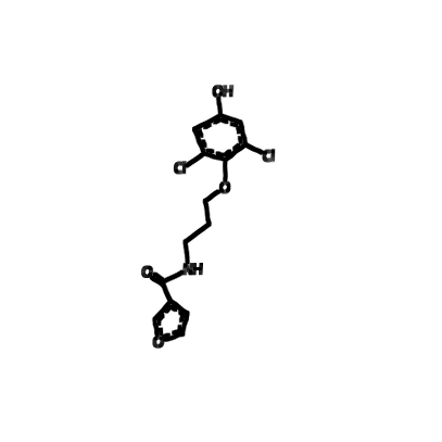 O=C(NCCCOc1c(Cl)cc(O)cc1Cl)c1ccoc1